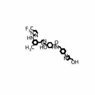 Cc1cc(Nc2nccc(C(F)(F)F)n2)cc(-c2cnc([C@]3(O)CC[C@@H](C(=O)NCc4ccc(-n5cc(CO)cn5)cc4)CC3)s2)c1